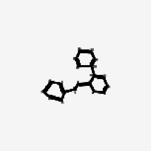 C1=CCC(=COc2ccccc2)C(c2ccccc2)=C1